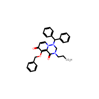 O=C(O)CCN1CN(C(c2ccccc2)c2ccccc2)n2ccc(=O)c(OCc3ccccc3)c2C1=O